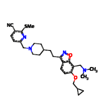 CSc1nc(CN2CCC(CCc3noc4c(CN(C)C)c(OCC5CC5)ccc34)CC2)ccc1C#N